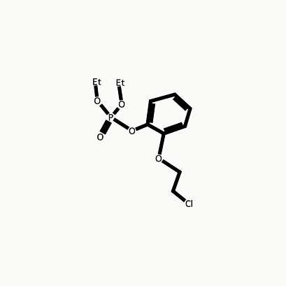 CCOP(=O)(OCC)Oc1ccccc1OCCCl